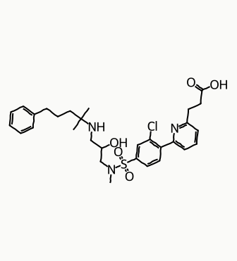 CN(CC(O)CNC(C)(C)CCCc1ccccc1)S(=O)(=O)c1ccc(-c2cccc(CCC(=O)O)n2)c(Cl)c1